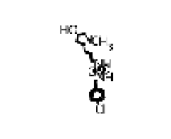 CN1C[C@H](O)C[C@@H]1CCCNS(=O)(=O)NCc1ccc(Cl)cc1